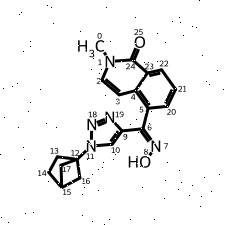 Cn1ccc2c(/C(=N/O)c3cn(C45CCC(C4)C5)nn3)cccc2c1=O